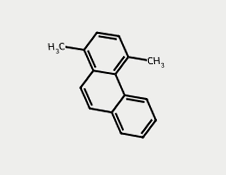 Cc1ccc(C)c2c1ccc1ccccc12